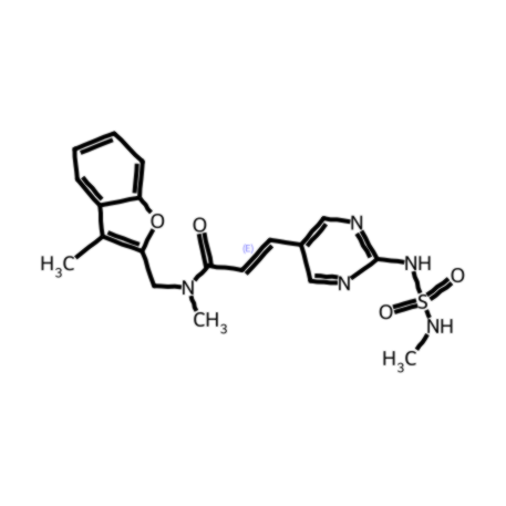 CNS(=O)(=O)Nc1ncc(/C=C/C(=O)N(C)Cc2oc3ccccc3c2C)cn1